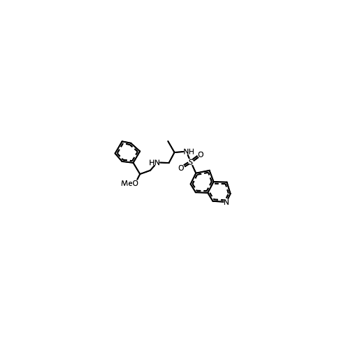 COC(CNCC(C)NS(=O)(=O)c1ccc2cnccc2c1)c1ccccc1